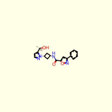 C[C@H](O)c1ccnn1[C@H]1C[C@@H](NC(=O)c2cc(-c3ccccc3)no2)C1